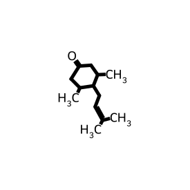 CC(C)=CCC1C(C)CC(=O)CC1C